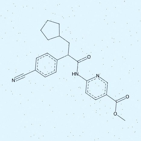 COC(=O)c1ccc(NC(=O)C(CC2CCCC2)c2ccc(C#N)cc2)nc1